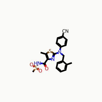 Cc1ccccc1CN(c1ccc(C#N)cc1)c1nc(C(=O)NS(C)(=O)=O)c(C)s1